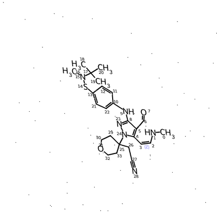 CN/C=C\c1c(C=O)c(Nc2ccc(SN(C)C(C)(C)C)cc2)nn1C1(CC#N)CCOCC1